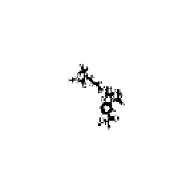 CON(C)C(=O)c1ccc2nc(NCCCCN(C(=O)O)C(C)(C)C)c3nnc(C)n3c2c1